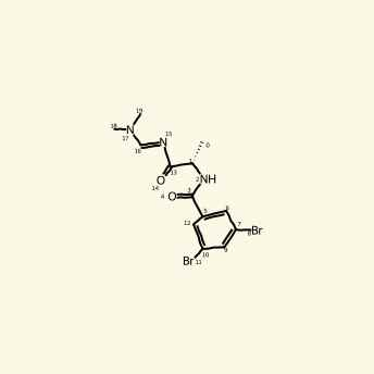 C[C@H](NC(=O)c1cc(Br)cc(Br)c1)C(=O)/N=C/N(C)C